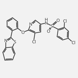 O=S(=O)(Nc1cnc(Oc2ccccc2-c2nc3ccccc3s2)c(Cl)c1)c1ccc(Cl)cc1Cl